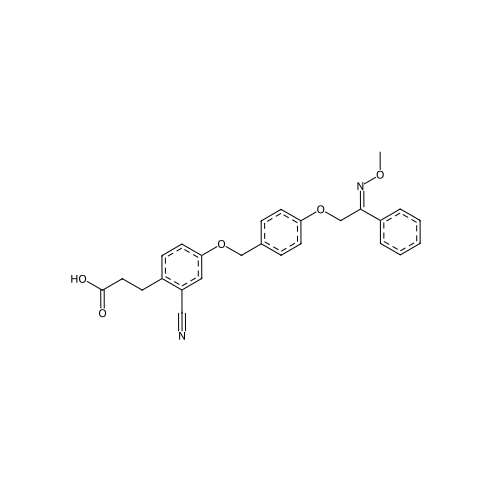 CON=C(COc1ccc(COc2ccc(CCC(=O)O)c(C#N)c2)cc1)c1ccccc1